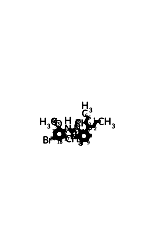 CCCC(CCC)c1cccc2nc(Nc3c(C)cc(Br)cc3OC)n(C)c12